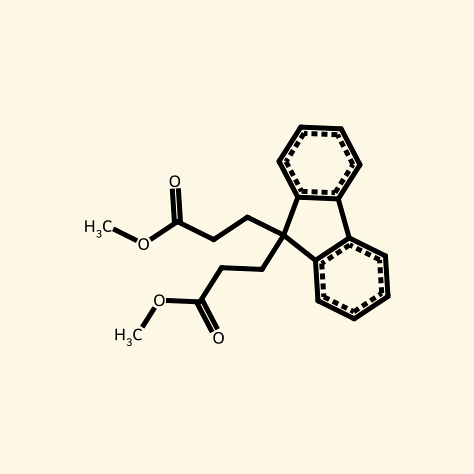 COC(=O)CCC1(CCC(=O)OC)c2ccccc2-c2ccccc21